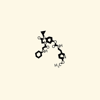 COc1ccc(CCNC(=O)Oc2ccc3c(c2)N(C(=O)CNC2CCCCC2)CC(=O)N3C2CC2)cn1